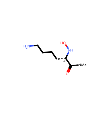 CNC(=O)[C@H](CCCCN)NO